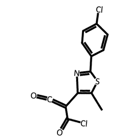 Cc1sc(-c2ccc(Cl)cc2)nc1C(=C=O)C(=O)Cl